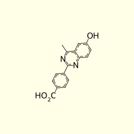 Cc1nc(-c2ccc(C(=O)O)cc2)nc2ccc(O)cc12